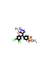 CN1CC/C(=C(\c2ccc(S(C)(=O)=O)cc2)c2ccc(Cl)c(Cl)c2)C1=O